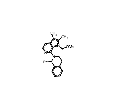 CCC1c2ccccc2CCN1c1nccc2c(C)c(C)n(COC)c12